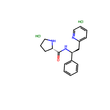 Cl.Cl.O=C(N[C@@H](Cc1ccccn1)c1ccccc1)[C@@H]1CCCN1